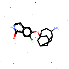 NC1CCC2(Oc3cc4cc[nH]c(=O)c4cc3Cl)CC3CC(C2)C1C3